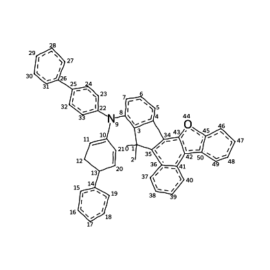 CC1(C)c2c(cccc2N(C2=CCC(c3ccccc3)C=C2)c2ccc(-c3ccccc3)cc2)-c2c1c1ccccc1c1c2oc2ccccc21